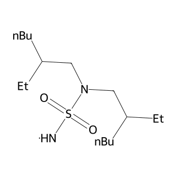 CCCCC(CC)CN(CC(CC)CCCC)S([NH])(=O)=O